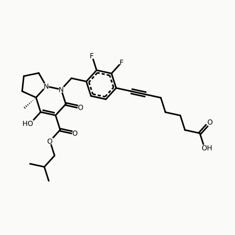 CC(C)COC(=O)C1=C(O)[C@@]2(C)CCCN2N(Cc2ccc(C#CCCCCC(=O)O)c(F)c2F)C1=O